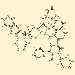 C=C1C(c2ccccc2)=NC(C2CC=c3ccccc3=C2CC2c3cc4ccccc4cc3C3C2C=CC2(N4c5cc6ccccc6cc5C5CCC=CC54)CC32)=NC1c1ccccc1